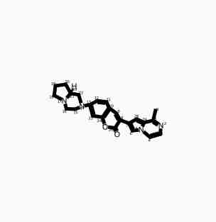 Cc1nccn2cc(-c3cc4ccc(N5CCN6CCC[C@@H]6C5)cc4oc3=O)cc12